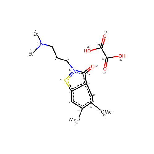 CCN(CC)CCCn1sc2cc(OC)c(OC)cc2c1=O.O=C(O)C(=O)O